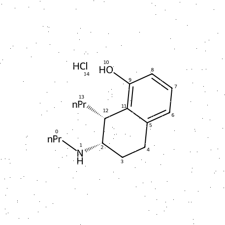 CCCN[C@H]1CCc2cccc(O)c2[C@H]1CCC.Cl